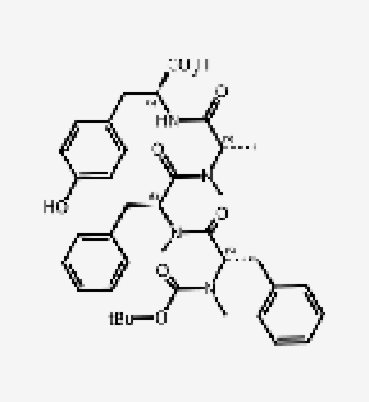 C[C@@H](C(=O)N[C@@H](Cc1ccc(O)cc1)C(=O)O)N(C)C(=O)[C@H](Cc1ccccc1)N(C)C(=O)[C@H](Cc1ccccc1)N(C)C(=O)OC(C)(C)C